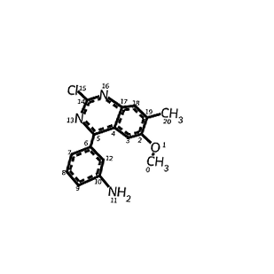 COc1cc2c(-c3cccc(N)c3)nc(Cl)nc2cc1C